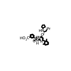 Cc1cccc(C)c1-c1cc(OC[C@@H](CC(C)C)NC2CCCC2)nc(NS(=O)(=O)c2cccc(C(=O)O)c2)n1